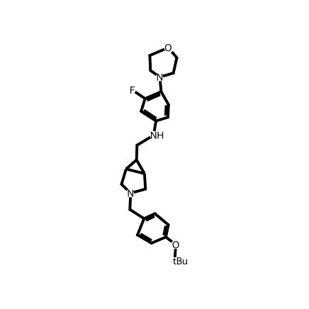 CC(C)(C)Oc1ccc(CN2CC3C(CNc4ccc(N5CCOCC5)c(F)c4)C3C2)cc1